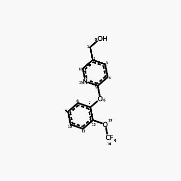 OCc1ccc(Oc2ccccc2OC(F)(F)F)nc1